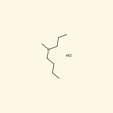 CCCCN(C)CCC.Cl